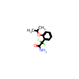 CC(C)Oc1ccccc1C(F)(F)C(N)=O